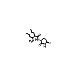 C=C/C=C(N)\C(=C/C=C)C(=O)NC1CCC(=O)NC1=O